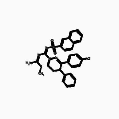 CS/C(N)=N\C(=N\S(=O)(=O)c1ccc2ccccc2c1)N1CCC(c2ccccc2)C(c2ccc(Cl)cc2)=N1